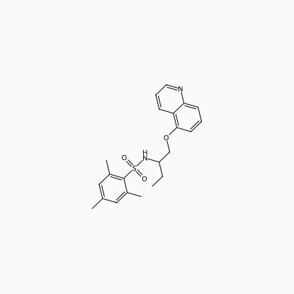 CCC(COc1cccc2ncccc12)NS(=O)(=O)c1c(C)cc(C)cc1C